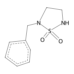 O=S1(=O)NCCN1Cc1ccccc1